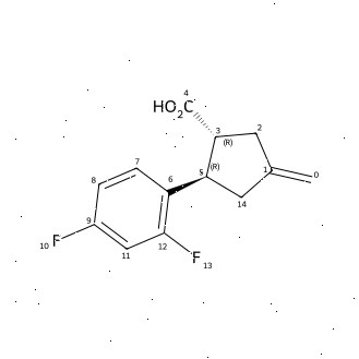 C=C1C[C@@H](C(=O)O)[C@H](c2ccc(F)cc2F)C1